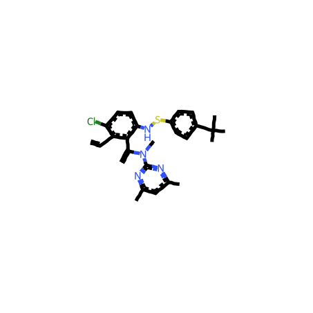 C=Cc1c(Cl)ccc(NSc2ccc(C(C)(C)C)cc2)c1C(=C)N(C)c1nc(C)cc(C)n1